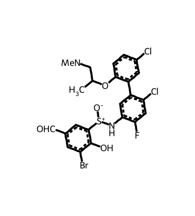 CNCC(C)Oc1ccc(Cl)cc1-c1cc(N[S+]([O-])c2cc(C=O)cc(Br)c2O)c(F)cc1Cl